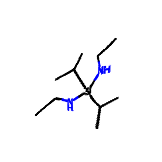 CCN[Si](NCC)(C(C)C)C(C)C